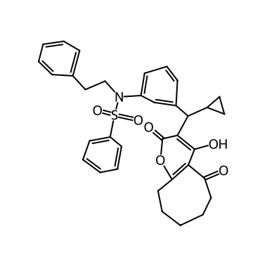 O=C1CCCCCc2oc(=O)c(C(c3cccc(N(CCc4ccccc4)S(=O)(=O)c4ccccc4)c3)C3CC3)c(O)c21